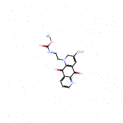 CCOC(=O)C1=CC2=C(C(=O)c3cccnc3C2=O)N(CCNC(=O)OC(C)(C)C)C1